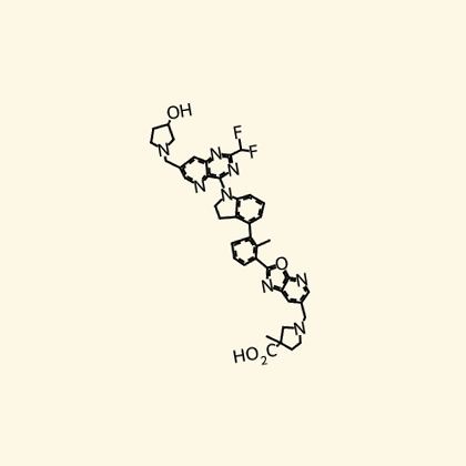 Cc1c(-c2nc3cc(CN4CC[C@@](C)(C(=O)O)C4)cnc3o2)cccc1-c1cccc2c1CCN2c1nc(C(F)F)nc2cc(CN3CC[C@@H](O)C3)cnc12